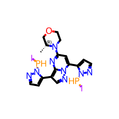 C[C@@H]1COCCN1c1cc(-c2ccnn2PI)n2ncc(-c3ccnn3PI)c2n1